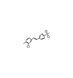 Cc1ccc(/C=C/c2ccc(S(C)(=O)=O)cc2)cc1Cl